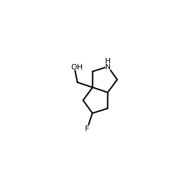 OCC12CNCC1CC(F)C2